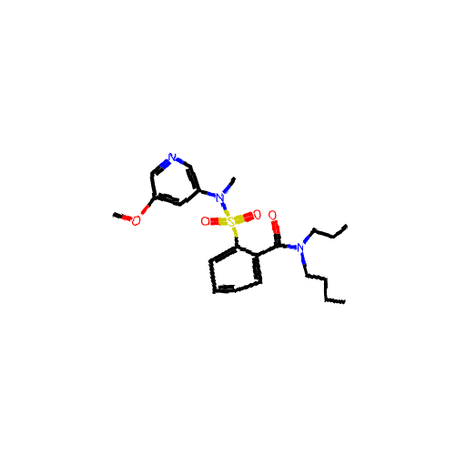 CCCCN(CCC)C(=O)c1ccccc1S(=O)(=O)N(C)c1cncc(OC)c1